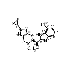 C[C@@H]1Cc2nc(C3CC3)sc2CN1C(=O)c1nc2cccc(Cl)c2[nH]1